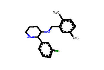 COc1ccc(C)cc1CNC1CCCNC1c1cccc(F)c1